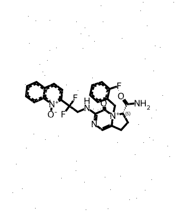 NC(=O)[C@@H]1CCC2=CN=C(NCC(F)(F)c3ccc4ccccc4[n+]3[O-])C(=O)[N+]21Cc1ccccc1F